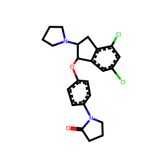 O=C1CCCN1c1ccc(OC2c3cc(Cl)cc(Cl)c3CC2N2CCCC2)cc1